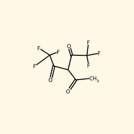 CC(=O)C(C(=O)C(F)(F)F)C(=O)C(F)(F)F